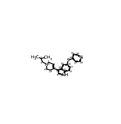 CC(C)CN1CC=C(c2c[nH]c3ccc(Sc4ccncc4)cc23)CC1